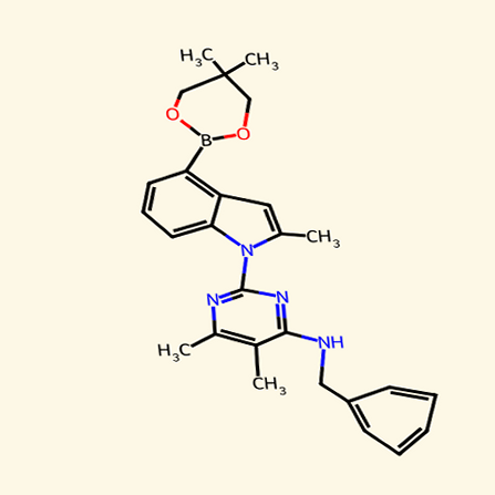 Cc1nc(-n2c(C)cc3c(B4OCC(C)(C)CO4)cccc32)nc(NCc2ccccc2)c1C